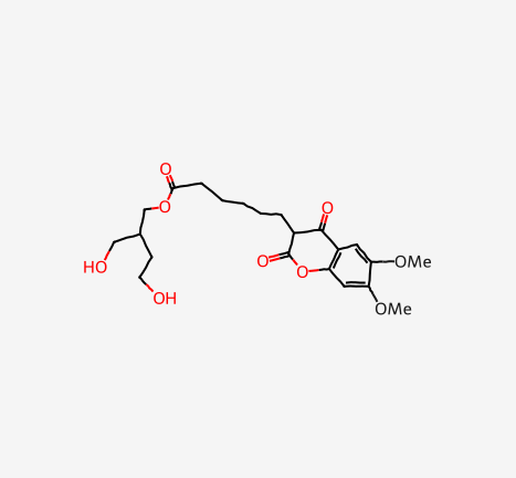 COc1cc2c(cc1OC)C(=O)C(CCCCCC(=O)OCC(CO)CCO)C(=O)O2